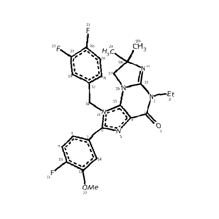 CCN1C(=O)c2nc(-c3ccc(F)c(OC)c3)n(Cc3ccc(F)c(F)c3)c2N2CC(C)(C)N=C12